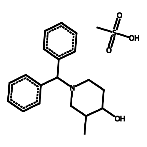 CC1CN(C(c2ccccc2)c2ccccc2)CCC1O.CS(=O)(=O)O